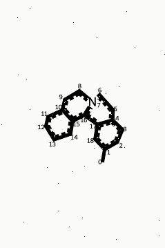 Cc1ccc2cc[n+]3ccc4ccccc4c3c2c1